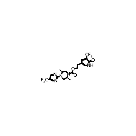 C[C@H]1CN(c2ncc(C(F)(F)F)cn2)[C@@H](C)CN1C(=O)OCCc1c[nH]c(=O)c(C(F)(F)F)c1